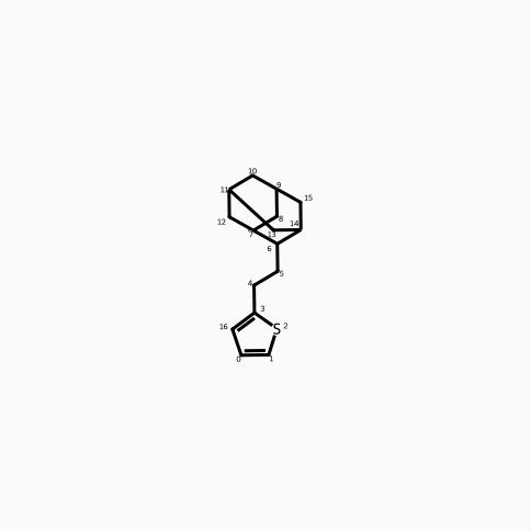 c1csc(CCC2[C]3CC4CC(C3)CC2C4)c1